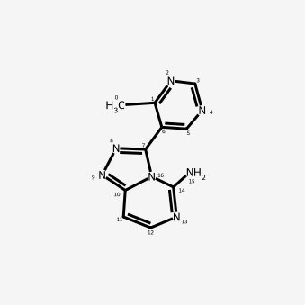 Cc1ncncc1-c1nnc2ccnc(N)n12